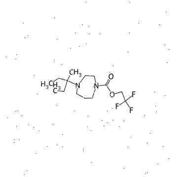 CCC(C)(CC)N1CCCN(C(=O)OCC(F)(F)F)CC1